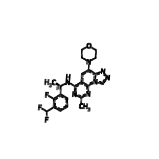 Cc1nc(N[C@H](C)c2cccc(C(F)F)c2F)c2cc(N3CCOCC3)c3nncn3c2n1